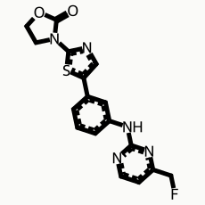 O=C1OCCN1c1ncc(-c2cccc(Nc3nccc(CF)n3)c2)s1